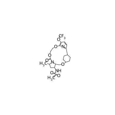 CC1CC(NS(C)(=O)=O)C2COC3CCC(CC3)c3ccc(OC(F)(F)F)c(n3)OCCOC(=O)N12